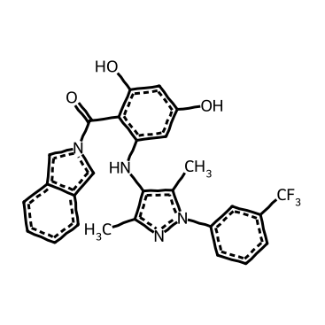 Cc1nn(-c2cccc(C(F)(F)F)c2)c(C)c1Nc1cc(O)cc(O)c1C(=O)n1cc2ccccc2c1